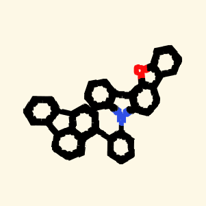 c1ccc2c(c1)-c1cccc3c(-c4ccccc4-n4c5ccccc5c5c6oc7ccccc7c6ccc54)ccc-2c13